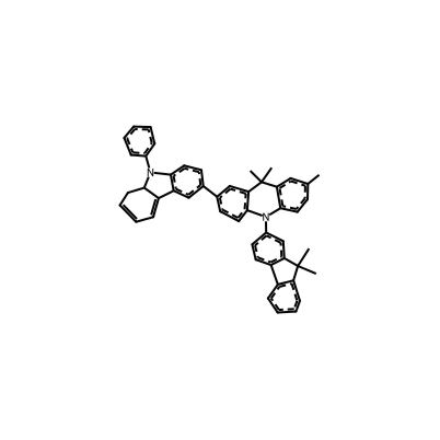 Cc1ccc2c(c1)C(C)(C)c1cc(-c3ccc4c(c3)C3=CC=CCC3N4c3ccccc3)ccc1N2c1ccc2c(c1)C(C)(C)c1ccccc1-2